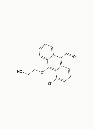 O=Cc1c2ccccc2c(OCCO)c2c(Cl)cccc12